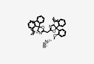 COc1ccccc1C1(c2ccccc2OC)OC(CC2=N[C@H](C(C)C)C(c3ccccc3OC)(c3ccccc3OC)O2)=N[C@@H]1C(C)C.[Br-].[Br-].[Ni+2]